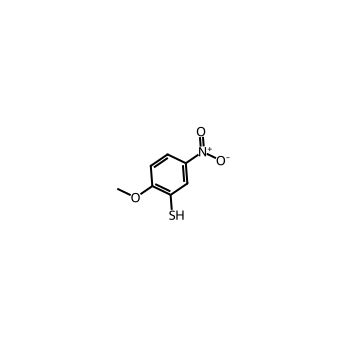 COc1ccc([N+](=O)[O-])cc1S